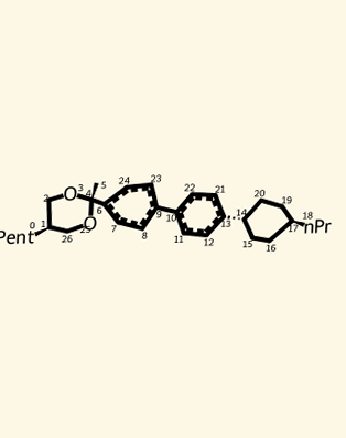 CCCCC[C@H]1CO[C@](C)(c2ccc(-c3ccc([C@H]4CC[C@H](CCC)CC4)cc3)cc2)OC1